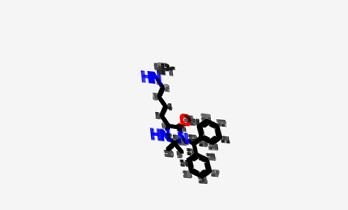 CC(C)NCCCCC1NC(C)(C)N(C(c2ccccc2)c2ccccc2)C1=O